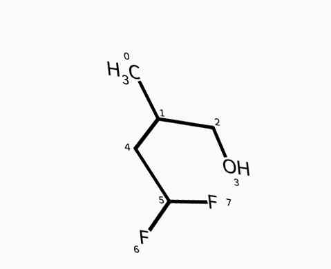 CC(CO)CC(F)F